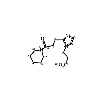 CCOC(=O)CCn1ccnc1CCC(=O)N1CCCCC1